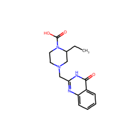 CCC1CN(Cc2nc3ccccc3c(=O)[nH]2)CCN1C(=O)O